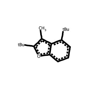 Cc1c(C(C)(C)C)oc2cccc(C(C)(C)C)c12